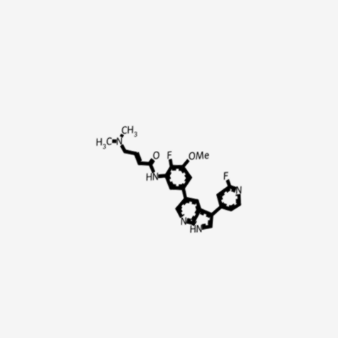 COc1cc(-c2cnc3[nH]cc(-c4ccnc(F)c4)c3c2)cc(NC(=O)/C=C/CN(C)C)c1F